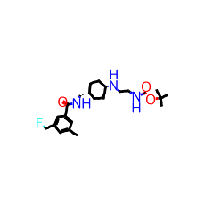 Cc1cc(CF)cc(C(=O)NC[C@H]2CC[C@@H](NCCNC(=O)OC(C)(C)C)CC2)c1